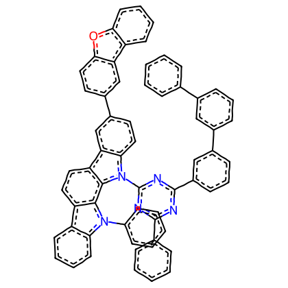 c1ccc(-c2cccc(-c3cccc(-c4nc(-c5ccccc5)nc(-n5c6ccc(-c7ccc8oc9ccccc9c8c7)cc6c6ccc7c8ccccc8n(-c8ccccc8)c7c65)n4)c3)c2)cc1